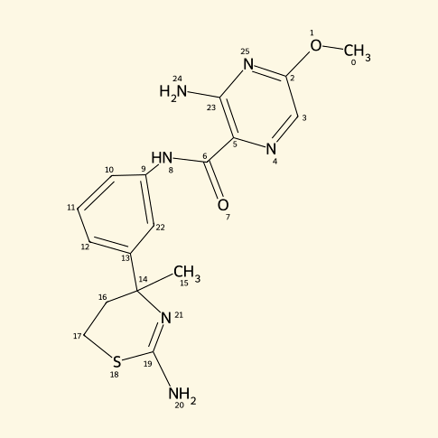 COc1cnc(C(=O)Nc2cccc(C3(C)CCSC(N)=N3)c2)c(N)n1